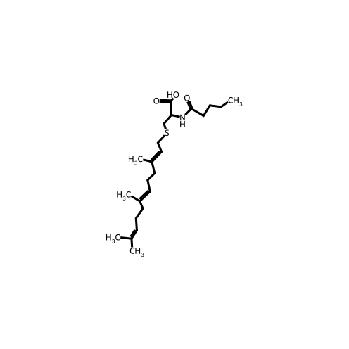 CCCCC(=O)NC(CSC/C=C(\C)CC/C=C(\C)CCC=C(C)C)C(=O)O